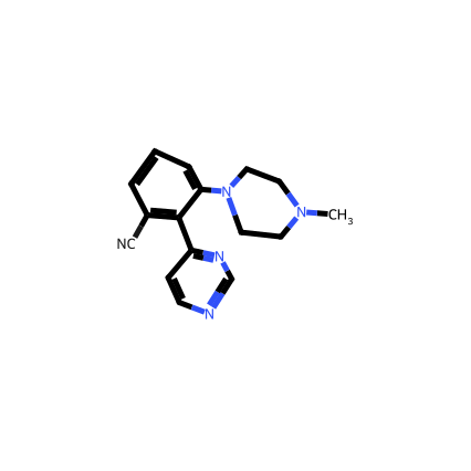 CN1CCN(c2cccc(C#N)c2-c2ccncn2)CC1